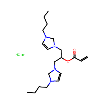 C=CC(=O)OC(CN1C=CN(CCCC)C1)CN1C=CN(CCCC)C1.Cl.Cl